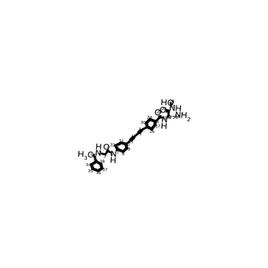 C[C@@H](NCC(=O)Nc1ccc(C#CC#Cc2ccc(C(=O)N[C@@H](CN)C(=O)NO)cc2)cc1)c1ccccc1